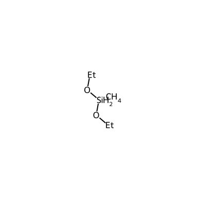 C.CCO[SiH2]OCC